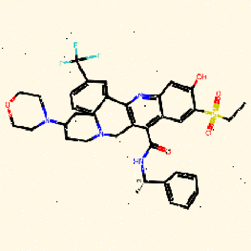 CCS(=O)(=O)c1cc2c(C(=O)N[C@@H](C)c3ccccc3)c(CN3CCC(N4CCOCC4)CC3)c(-c3cccc(C(F)(F)F)c3)nc2cc1O